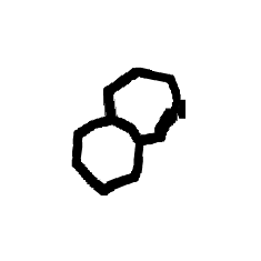 C1=NCCCC2CCCCC12